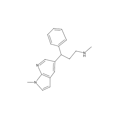 CNCCC(c1ccccc1)c1cnc2c(ccn2C)c1